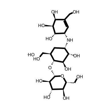 OCC1=C[C@H](N[C@H]2C[C@H](CO)[C@@H](O[C@@H]3O[C@H](CO)[C@@H](O)[C@H](O)[C@H]3O)[C@H](O)[C@H]2O)[C@H](O)[C@@H](O)[C@H]1O.[OH]